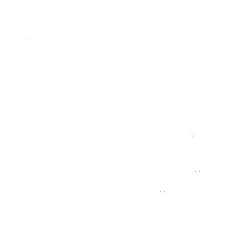 COc1cc(CC[CH]c2cccc(OCC(=O)O)c2)cc(OC)c1OC